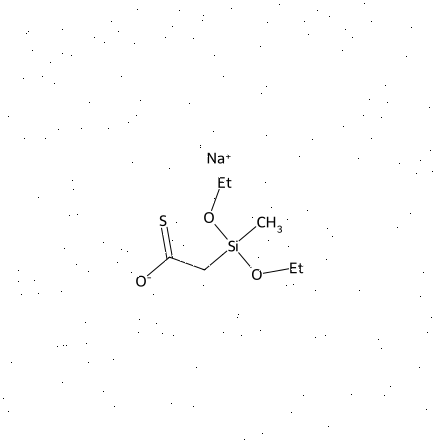 CCO[Si](C)(CC([O-])=S)OCC.[Na+]